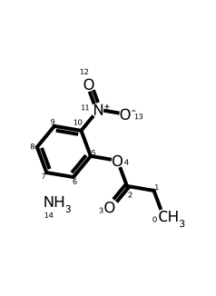 CCC(=O)Oc1ccccc1[N+](=O)[O-].N